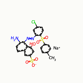 Cc1ccc(S(=O)(=O)c2ccc(Cl)cc2N=Nc2c(N)ccc3cc(S(=O)(=O)[O-])cc(O)c23)cc1.[Na+]